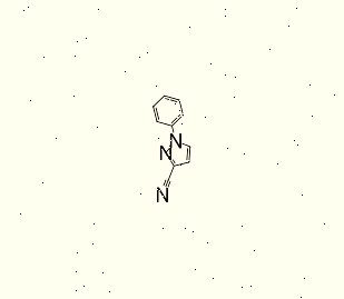 N#Cc1ccn(-c2ccccc2)n1